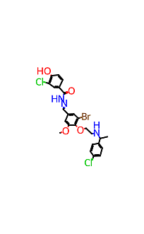 COc1cc(/C=N/NC(=O)c2ccc(O)c(Cl)c2)cc(Br)c1OCCNC(C)c1ccc(Cl)cc1